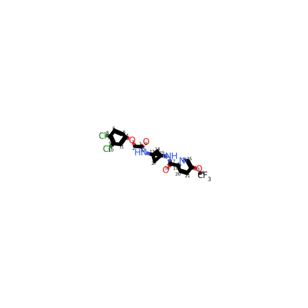 O=C(COc1ccc(Cl)c(Cl)c1)NC12CC(NC(=O)c3ccc(OC(F)(F)F)cn3)(C1)C2